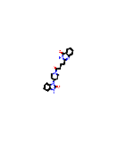 O=C(CCCc1nc2ccccc2c(=O)[nH]1)N1CCC(n2c(=O)[nH]c3ccccc32)CC1